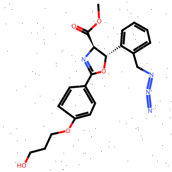 COC(=O)[C@@H]1N=C(c2ccc(OCCCO)cc2)O[C@H]1c1ccccc1CN=[N+]=[N-]